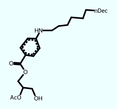 CCCCCCCCCCCCCCCCNc1ccc(C(=O)OCC(CO)OC(C)=O)cc1